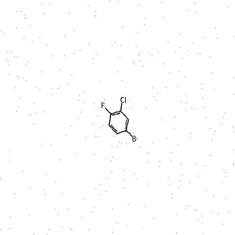 [B]c1ccc(F)c(Cl)c1